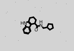 O=C(NCC1CCCC1)C1CCCc2[nH]c3ccccc3c21